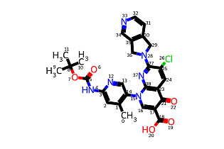 Cc1cc(NC(=O)OC(C)(C)C)ncc1-n1cc(C(=O)O)c(=O)c2cc(Cl)c(N3Cc4ccncc4C3)nc21